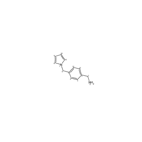 NCc1ccc(Cn2cccc2)cc1